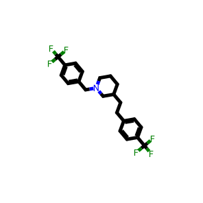 FC(F)(F)c1ccc(CCC2CCCN(Cc3ccc(C(F)(F)F)cc3)C2)cc1